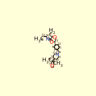 C=C1OC[C@H](c2ccc(CN3CCC(C(C)(C)C=O)CC3)cc2)O/C1=N/C=C\C